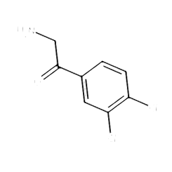 NCC(=O)c1ccc(Cl)c(Cl)c1